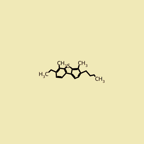 CCCCc1ccc2c(sc3c(C)c(CC)ccc32)c1C